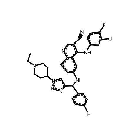 CCN1CCC(n2cc(C(Nc3ccc4ncc(C#N)c(Nc5ccc(F)c(Cl)c5)c4c3)c3ccc(F)cc3)nn2)CC1